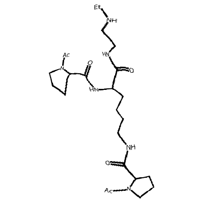 CCNCCNC(=O)C(CCCCNC(=O)C1CCCN1C(C)=O)NC(=O)C1CCCN1C(C)=O